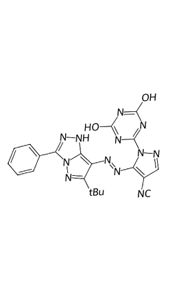 [C-]#[N+]c1cnn(-c2nc(O)nc(O)n2)c1/N=N/c1c(C(C)(C)C)nn2c(-c3ccccc3)n[nH]c12